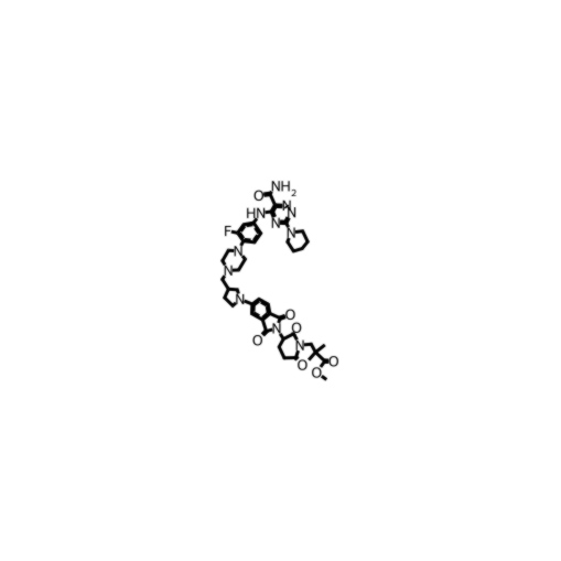 COC(=O)C(C)(C)CN1C(=O)CCC(N2C(=O)c3ccc(N4CCC(CN5CCN(c6ccc(Nc7nc(N8CCCCC8)nnc7C(N)=O)cc6F)CC5)C4)cc3C2=O)C1=O